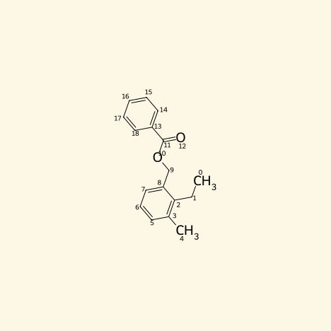 CCc1c(C)cccc1COC(=O)c1ccccc1